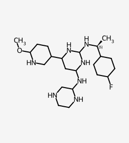 COC1CCC(C2CC(NC3CNCCN3)NC(N[C@@H](C)C3CCC(F)CC3)N2)CN1